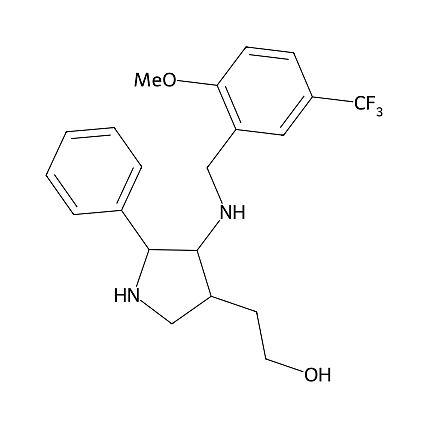 COc1ccc(C(F)(F)F)cc1CNC1C(CCO)CNC1c1ccccc1